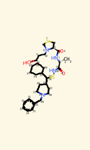 C[C@@H](NC(=O)[C@@H]1CSCN1CCCO)C(=O)NSC(C1CCCCC1)C1CCN(Cc2ccccc2)CC1